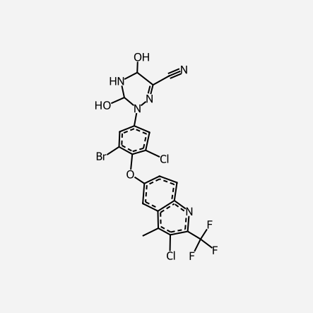 Cc1c(Cl)c(C(F)(F)F)nc2ccc(Oc3c(Cl)cc(N4N=C(C#N)C(O)NC4O)cc3Br)cc12